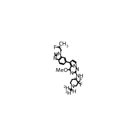 [2H]C([2H])([2H])N1CC[C@@H](Nc2nc(OC)c3c(-c4ccc5nnn(C[C@@H](C)F)c5c4)ccn3n2)C(F)(F)C1